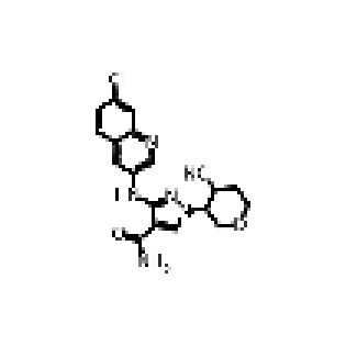 N#CC1CCOC[C@H]1n1cc(C(N)=O)c(Nc2cnc3cc(Cl)ccc3c2)n1